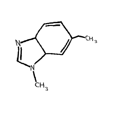 CC1=CC2C(C=C1)N=CN2C